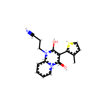 Cc1ccsc1-c1c(O)[n+](CCC#N)c2ccccn2c1=O